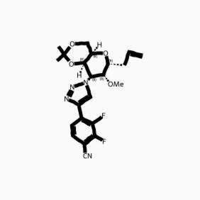 C=CC[C@H]1O[C@@H]2COC(C)(C)O[C@@H]2[C@H](n2cc(-c3ccc(C#N)c(F)c3F)nn2)[C@H]1OC